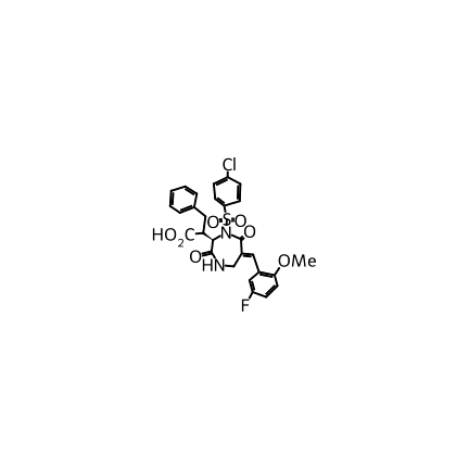 COc1ccc(F)cc1C=C1CNC(=O)[C@@H](C(Cc2ccccc2)C(=O)O)N(S(=O)(=O)c2ccc(Cl)cc2)C1=O